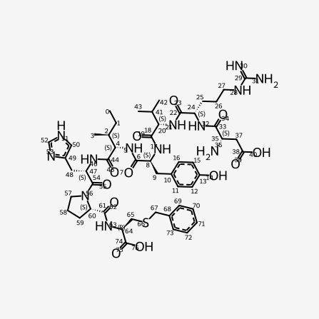 CC[C@H](C)[C@H](NC(=O)[C@H](Cc1ccc(O)cc1)NC(=O)[C@@H](NC(=O)[C@H](CCCNC(=N)N)NC(=O)[C@@H](N)CC(=O)O)C(C)C)C(=O)N[C@@H](Cc1c[nH]cn1)C(=O)N1CCC[C@H]1C(=O)N[C@@H](CSCc1ccccc1)C(=O)O